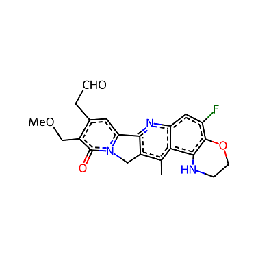 COCc1c(CC=O)cc2n(c1=O)Cc1c-2nc2cc(F)c3c(c2c1C)NCCO3